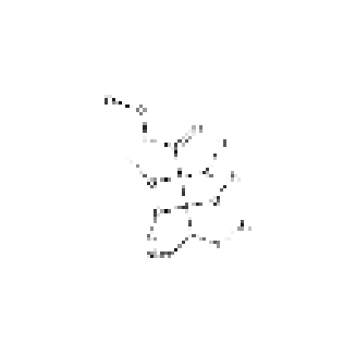 CCCCCCCCCCC(OCC)C(OCC)(OCC)C(OCC)(OCC)C(=O)OOCC